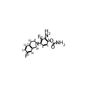 NC(=O)Oc1ccc(N2CCc3ccc(F)cc3C2)c(F)c1N